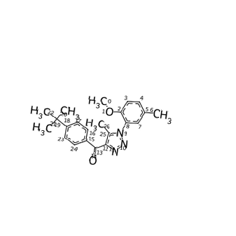 COc1ccc(C)cc1-n1nnc(C(=O)c2ccc(C(C)(C)C)cc2)c1C